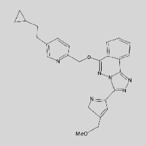 COCC1=CC(c2nnc3c4ccccc4c(OCc4ccc(CCC5CC5)cn4)nn23)=NC1